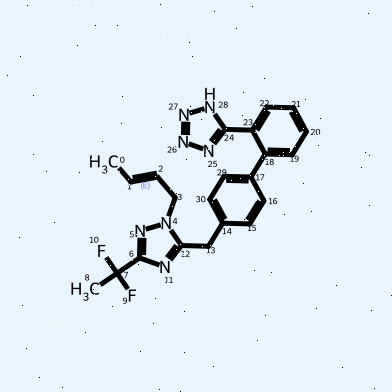 C/C=C/Cn1nc(C(C)(F)F)nc1Cc1ccc(-c2ccccc2-c2nnn[nH]2)cc1